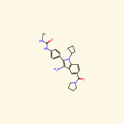 CC(C)NC(=O)Nc1ccc(-c2c(N)c3cc(C(=O)N4CCCC4)ccc3n2C2CCC2)cc1